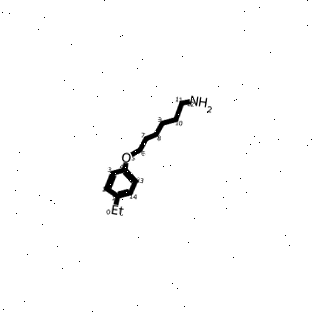 CCc1ccc(OCCCCCCN)cc1